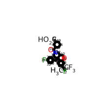 CC(F)(c1ccc2c(c1)OCC1CN(C(=O)C3CCCC(C(=O)O)C3)CCC21Cc1ccc(F)cc1)C(F)(F)F